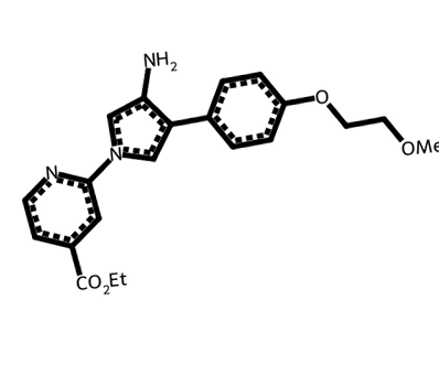 CCOC(=O)c1ccnc(-n2cc(N)c(-c3ccc(OCCOC)cc3)c2)c1